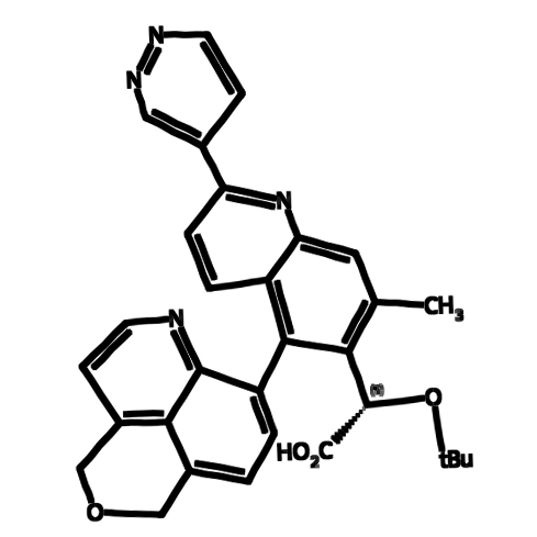 Cc1cc2nc(-c3ccnnc3)ccc2c(-c2ccc3c4c(ccnc24)COC3)c1[C@H](OC(C)(C)C)C(=O)O